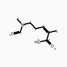 CC(=CCCN(C)C=O)C(=O)O